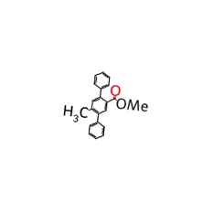 COC(=O)c1cc(-c2ccccc2)c(C)cc1-c1ccccc1